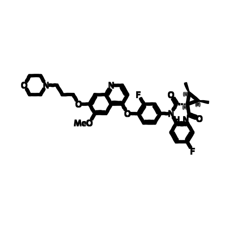 COc1cc2c(Oc3ccc(N(C(=O)[C@@]4(C(N)=O)[C@H](C)[C@@H]4C)c4ccc(F)cc4)cc3F)ccnc2cc1OCCCN1CCOCC1